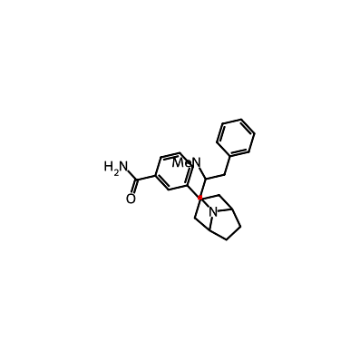 CNC(Cc1ccccc1)CN1C2CCC1CC(c1cccc(C(N)=O)c1)C2